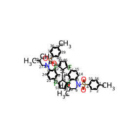 Cc1ccc(S(=O)(=O)N(CC(C)C)c2ccc(F)[c]([Ti]([c]3c(F)ccc(N(CC(C)C)S(=O)(=O)c4ccc(C)cc4)c3F)([CH]3C=CC=C3)[CH]3C=CC=C3)c2F)cc1